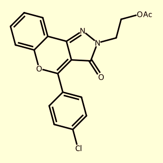 CC(=O)OCCn1nc2c3ccccc3oc(-c3ccc(Cl)cc3)c-2c1=O